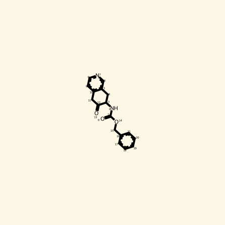 O=C(NC1Cc2cnccc2CC1=O)OCc1ccccc1